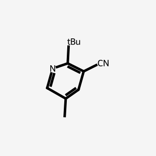 Cc1cnc(C(C)(C)C)c(C#N)c1